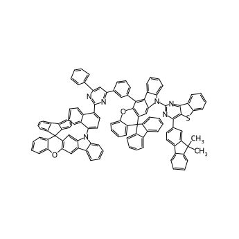 CC1(C)c2ccccc2-c2ccc(-c3nc(-n4c5ccccc5c5c(-c6cccc(-c7cc(-c8ccccc8)nc(-c8ccc(-n9c%10ccccc%10c%10cc%11c(cc%109)C9(c%10ccccc%10O%11)c%10ccccc%10-c%10ccccc%109)c9ccccc89)n7)c6)c6c(cc54)C4(c5ccccc5O6)c5ccccc5-c5ccccc54)nc4c3sc3ccccc34)cc21